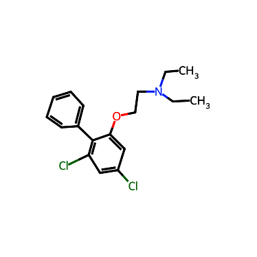 CCN(CC)CCOc1cc(Cl)cc(Cl)c1-c1ccccc1